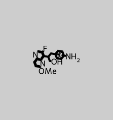 COc1ccc2ncc(F)c(C(CO)CC34CCC(N)(CC3)CO4)c2n1